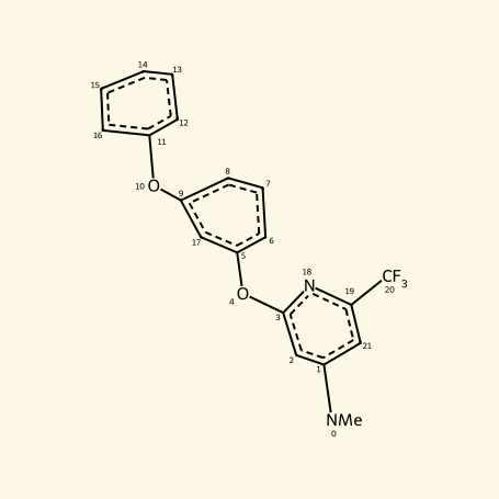 CNc1cc(Oc2cccc(Oc3ccccc3)c2)nc(C(F)(F)F)c1